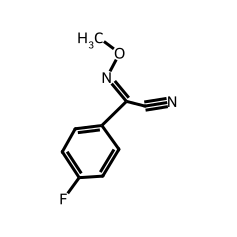 CON=C(C#N)c1ccc(F)cc1